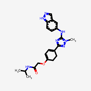 CC(C)NC(=O)COC1=CC=C(c2nc(Nc3ccc4[nH]ncc4c3)n(C)n2)CC1